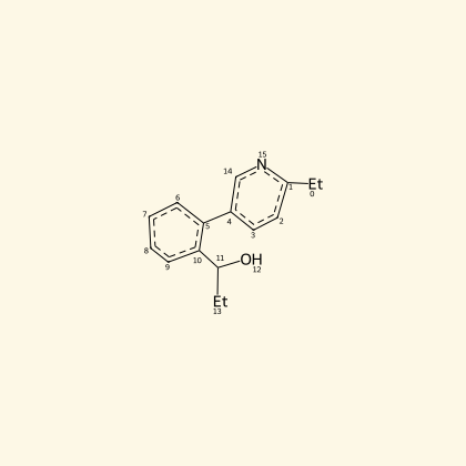 CCc1ccc(-c2ccccc2C(O)CC)cn1